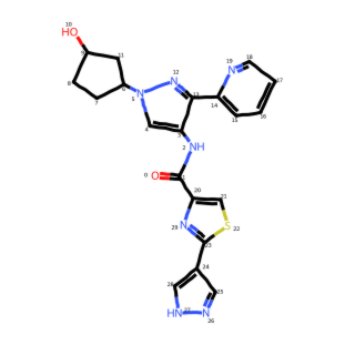 O=C(Nc1cn(C2CCC(O)C2)nc1-c1ccccn1)c1csc(-c2cn[nH]c2)n1